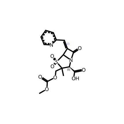 COC(=O)OCC1(C)[C@H](C(=O)O)N2C(=O)/C(=C/c3ccccn3)C2S1(=O)=O